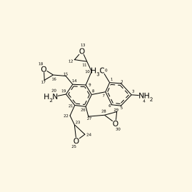 Cc1cc(N)ccc1-c1c(CC2CO2)c(CC2CO2)c(N)c(CC2CO2)c1CC1CO1